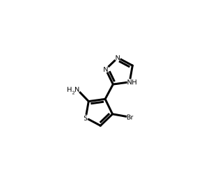 Nc1scc(Br)c1-c1nnc[nH]1